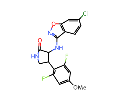 COc1cc(F)c(C2CNC(=O)C2Nc2noc3cc(Cl)ccc23)c(F)c1